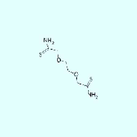 NC(=S)COCCOCC(N)=S